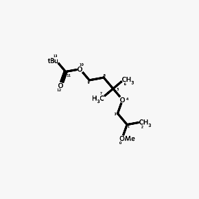 COC(C)COC(C)(C)CCOC(=O)C(C)(C)C